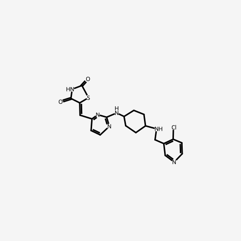 O=C1NC(=O)C(=Cc2ccnc(NC3CCC(NCc4cnccc4Cl)CC3)n2)S1